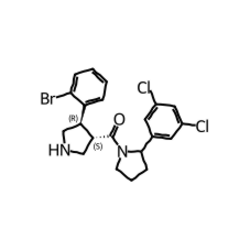 O=C([C@@H]1CNC[C@H]1c1ccccc1Br)N1CCCC1c1cc(Cl)cc(Cl)c1